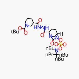 CCCCN(OS(=O)(=O)ON1C(=O)N2C[C@@H]1CC[C@H]2C(=O)NNC(=O)[C@@H]1CCCN(C(=O)OC(C)(C)C)C1)C(CCC)(CCCC)CCCC